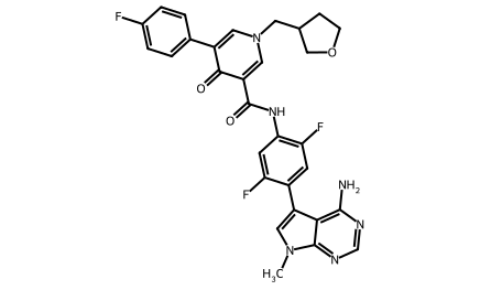 Cn1cc(-c2cc(F)c(NC(=O)c3cn(CC4CCOC4)cc(-c4ccc(F)cc4)c3=O)cc2F)c2c(N)ncnc21